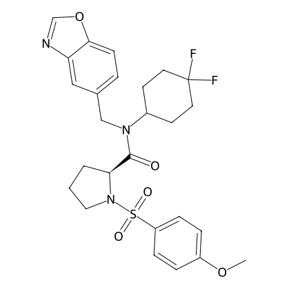 COc1ccc(S(=O)(=O)N2CCC[C@H]2C(=O)N(Cc2ccc3ocnc3c2)C2CCC(F)(F)CC2)cc1